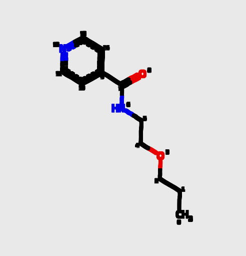 CCCOCCNC(=O)c1ccncc1